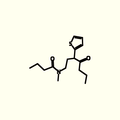 CCCC(=O)C(CCN(C)C(=O)CCC)c1cccs1